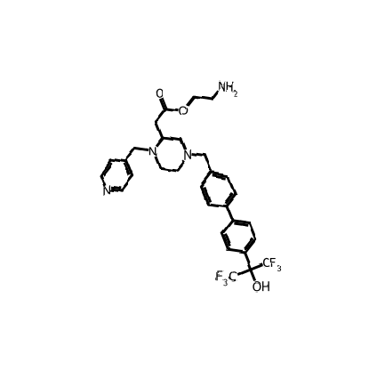 NCCOC(=O)CC1CN(Cc2ccc(-c3ccc(C(O)(C(F)(F)F)C(F)(F)F)cc3)cc2)CCN1Cc1ccncc1